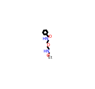 CCOCNCCOCCNC(=O)c1ccccc1